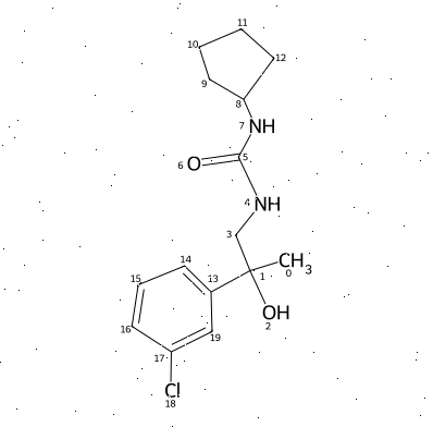 CC(O)(CNC(=O)NC1CCCC1)c1cccc(Cl)c1